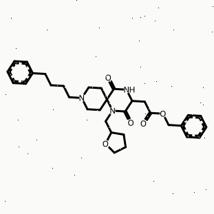 O=C(CC1NC(=O)C2(CCN(CCCCc3ccccc3)CC2)N(CC2CCCO2)C1=O)OCc1ccccc1